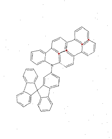 c1ccc(-c2ccc(-c3ccccc3N(c3ccc(-c4ccccc4)cc3)c3ccc4c(c3)C3(c5ccccc5-c5ccccc53)c3ccccc3-4)cc2)cc1